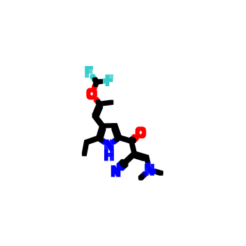 CCc1[nH]c(C(=O)/C(C#N)=C/N(C)C)cc1/C=C(\C)OC(F)F